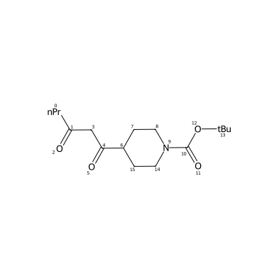 CCCC(=O)CC(=O)C1CCN(C(=O)OC(C)(C)C)CC1